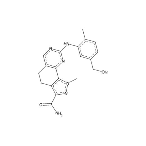 Cc1ccc(CO)cc1Nc1ncc2c(n1)-c1c(c(C(N)=O)nn1C)CC2